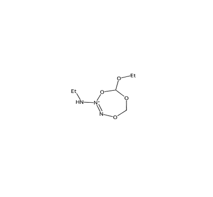 CCN[N+]1=NOCOC(OCC)O1